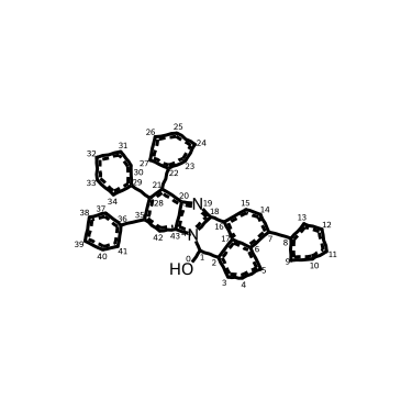 OC1c2cccc3c(-c4ccccc4)ccc(c23)-c2nc3c(-c4ccccc4)c(-c4ccccc4)c(-c4ccccc4)cc3n21